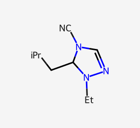 CCN1N=CN(C#N)C1CC(C)C